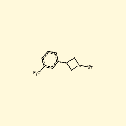 CC(C)N1CC(c2cccc(C(F)(F)F)c2)C1